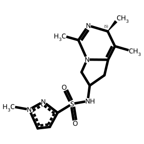 CC1=N[C@@H](C)C(C)=C2CC(NS(=O)(=O)c3ccn(C)n3)CN12